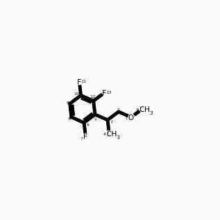 COCC(C)c1c(F)ccc(F)c1F